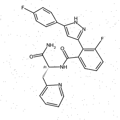 NC(=O)[C@@H](Cc1ccccn1)NC(=O)c1cccc(F)c1-c1cc(-c2ccc(F)cc2)[nH]n1